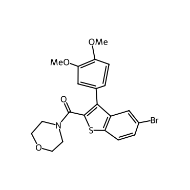 COc1ccc(-c2c(C(=O)N3CCOCC3)sc3ccc(Br)cc23)cc1OC